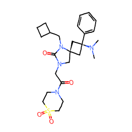 CN(C)[C@]1(c2ccccc2)C[C@]2(CN(CC(=O)N3CCS(=O)(=O)CC3)C(=O)N2CC2CCC2)C1